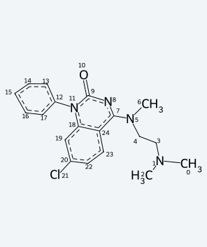 CN(C)CCN(C)c1nc(=O)n(-c2ccccc2)c2cc(Cl)ccc12